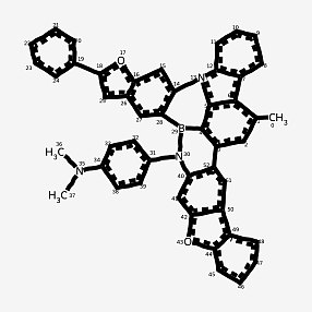 Cc1cc2c3c4c1c1ccccc1n4-c1cc4oc(-c5ccccc5)cc4cc1B3N(c1ccc(N(C)C)cc1)c1cc3oc4ccccc4c3cc1-2